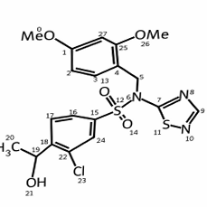 COc1ccc(CN(c2ncns2)S(=O)(=O)c2ccc(C(C)O)c(Cl)c2)c(OC)c1